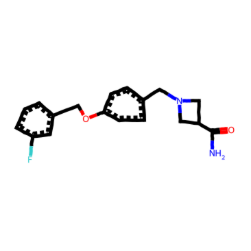 NC(=O)C1CN(Cc2ccc(OCc3cccc(F)c3)cc2)C1